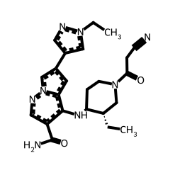 CC[C@H]1CN(C(=O)CC#N)CC[C@H]1Nc1c(C(N)=O)cnn2cc(-c3cnn(CC)c3)cc12